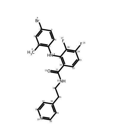 Cc1cc(Br)ccc1Nc1c(C(=O)NCCc2ccncc2)ccc(F)c1F